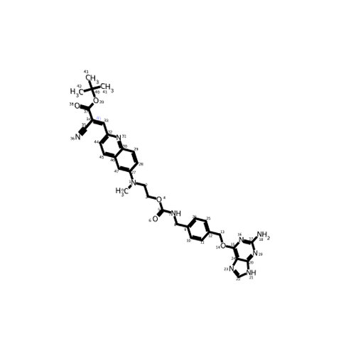 CN(CCOC(=O)NCc1ccc(COc2nc(N)nc3[nH]cnc23)cc1)c1ccc2nc(/C=C(\C#N)C(=O)OC(C)(C)C)ccc2c1